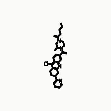 C=C(CCCC)N1CCN(C(=C)c2ccc3c(Cl)c4c(nc3c2)CC(c2ccccn2)CC4)C(C)C1